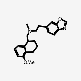 COc1cccc2c1CCCC2CN(C)CCc1ccc2ncoc2c1